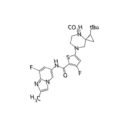 Cc1cn2cc(NC(=O)c3sc(N4CCN(C(=O)O)C5(CC5C(C)(C)C)C4)cc3F)cc(F)c2n1